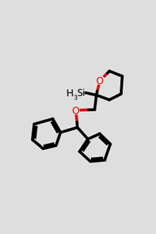 [SiH3]C1(COC(c2ccccc2)c2ccccc2)CCCCO1